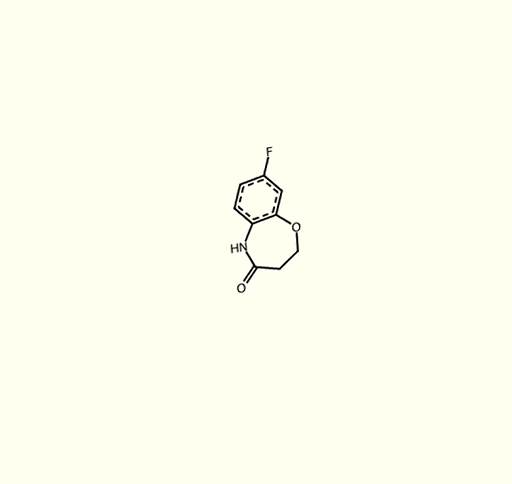 O=C1CCOc2cc(F)ccc2N1